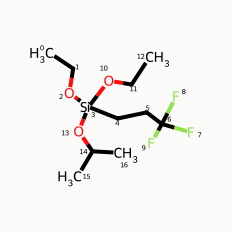 CCO[Si](CCC(F)(F)F)(OCC)OC(C)C